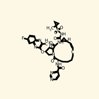 Cc1nc2ccc(F)cc2nc1O[C@@H]1C[C@H]2C(=O)N[C@]3(C(=O)NS(=O)(=O)C4(C)CC4)C[C@H]3C=CCCCCC[C@H](NC(=O)c3ccncn3)C(=O)N2C1